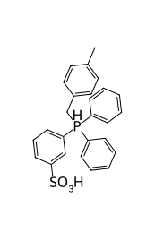 Cc1ccc(C[PH](c2ccccc2)(c2ccccc2)c2cccc(S(=O)(=O)O)c2)cc1